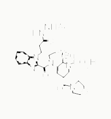 CC(=O)NNC(=O)CCn1c(C(=O)N(CC(C)C)[C@H]2C[C@@H](C(=O)N3CCOCC3)CN(C(=O)O)C2C(C)(C)C)nc2ccccc21